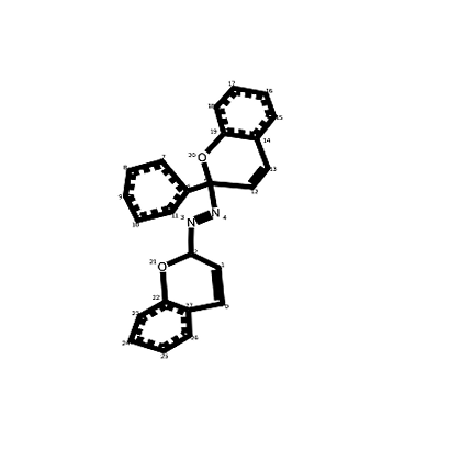 C1=CC(N=NC2(c3ccccc3)C=Cc3ccccc3O2)Oc2ccccc21